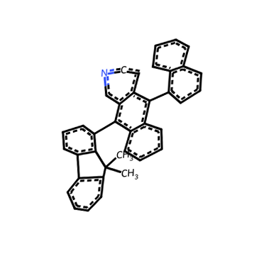 CC1(C)c2ccccc2-c2cccc(-c3c4ccccc4c(-c4cccc5ccccc45)c4ccncc34)c21